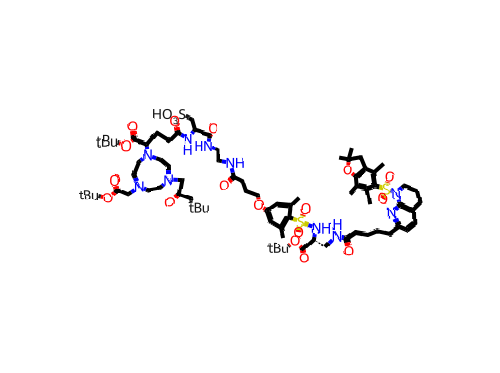 Cc1cc(OCCCC(=O)NCCNC(=O)C(CS(=O)(=O)O)NC(=O)CCC(C(=O)OC(C)(C)C)N2CCN(CC(=O)CC(C)(C)C)CCN(CC(=O)OC(C)(C)C)CC2)cc(C)c1S(=O)(=O)N[C@H](CNC(=O)CCCCc1ccc2c(n1)N(S(=O)(=O)c1c(C)c(C)c3c(c1C)CC(C)(C)O3)CCC2)C(=O)OC(C)(C)C